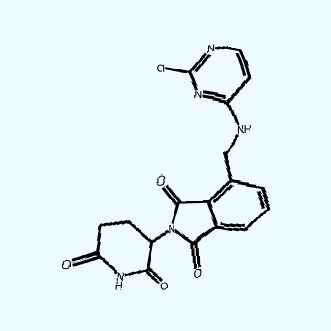 O=C1CCC(N2C(=O)c3cccc(CNc4ccnc(Cl)n4)c3C2=O)C(=O)N1